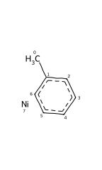 Cc1ccccc1.[Ni]